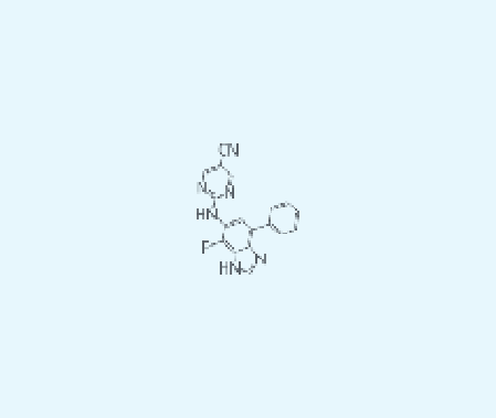 N#Cc1cnc(Nc2cc(-c3ccccc3)c3nc[nH]c3c2F)nc1